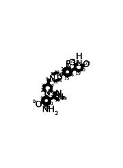 COc1cc(N2CCC(CN3CCN(c4ccc(C5CCC(=O)NC5=O)c(F)c4)CC3)CC2)c(-c2cnn(C)c2)cc1N